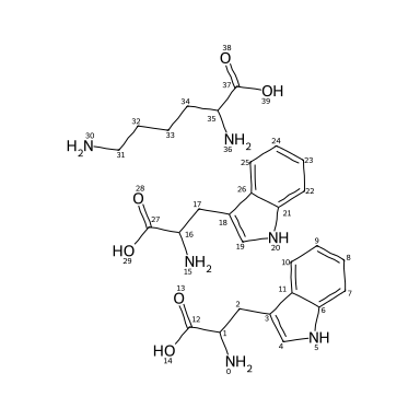 NC(Cc1c[nH]c2ccccc12)C(=O)O.NC(Cc1c[nH]c2ccccc12)C(=O)O.NCCCCC(N)C(=O)O